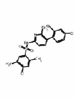 Cc1cc(S(=O)(=O)Nc2ccc(-c3ccc(Cl)cc3Cl)c(C)n2)c(C)cc1Cl